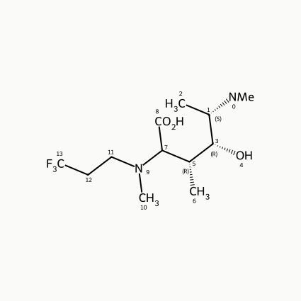 CN[C@@H](C)[C@H](O)[C@H](C)C(C(=O)O)N(C)CCC(F)(F)F